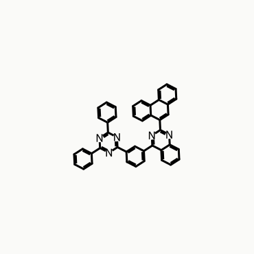 c1ccc(-c2nc(-c3ccccc3)nc(-c3cccc(-c4nc(-c5cc6ccccc6c6ccccc56)nc5ccccc45)c3)n2)cc1